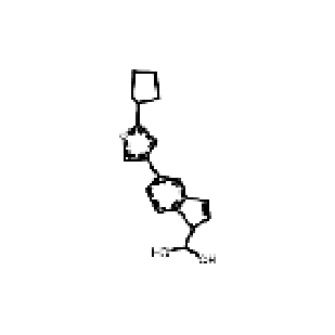 OC(O)C1C=Cc2cc(-c3coc(C4CCCC4)c3)ccc21